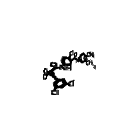 C=C(Cl)/C=C(\C=C/CC#N)NC(=O)c1cc(NC(=O)C2C(c3cc(Cl)cc(Cl)c3)C2(Cl)Cl)ccc1Cl